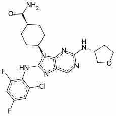 NC(=O)[C@H]1CC[C@@H](n2c(Nc3c(F)cc(F)cc3Cl)nc3cnc(N[C@@H]4CCOC4)nc32)CC1